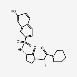 C[C@@H](C(=O)N1CCCCC1)N1CC[C@H](NS(=O)(=O)c2ccc3ccc(O)cc3c2)C1=O